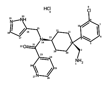 Cl.NC[C@]1(c2cccc(Cl)c2)CC[C@H](N(Cc2ccn[nH]2)C(=O)c2cccnc2)CC1